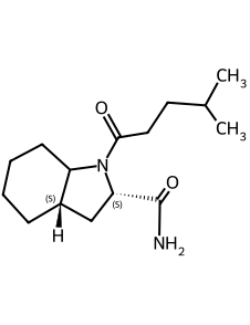 CC(C)CCC(=O)N1C2CCCC[C@H]2C[C@H]1C(N)=O